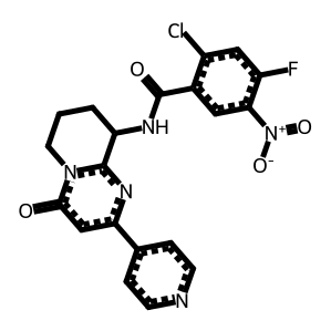 O=C(NC1CCCn2c1nc(-c1ccncc1)cc2=O)c1cc([N+](=O)[O-])c(F)cc1Cl